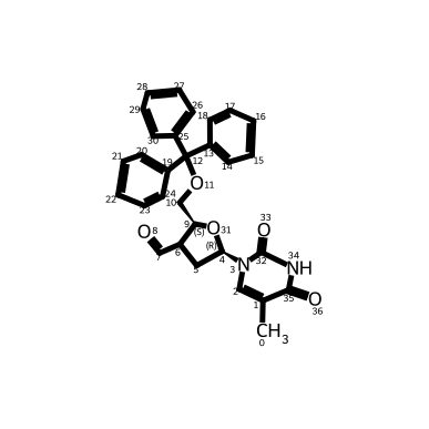 Cc1cn([C@H]2CC(C=O)[C@@H](COC(c3ccccc3)(c3ccccc3)c3ccccc3)O2)c(=O)[nH]c1=O